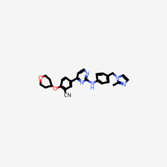 Cc1nccn1Cc1ccc(Nc2nccc(-c3ccc(OC4CCOCC4)c(C#N)c3)n2)cc1